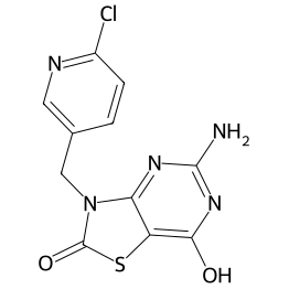 Nc1nc(O)c2sc(=O)n(Cc3ccc(Cl)nc3)c2n1